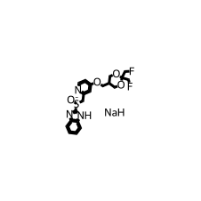 [NaH].[O-][S+](Cc1cc(OCC2COC(CF)(CF)OC2)ccn1)c1nc2ccccc2[nH]1